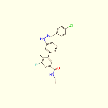 CCNC(=O)c1cc(F)c(C)c(-c2ccc3c(-c4ccc(Cl)cc4)n[nH]c3c2)c1